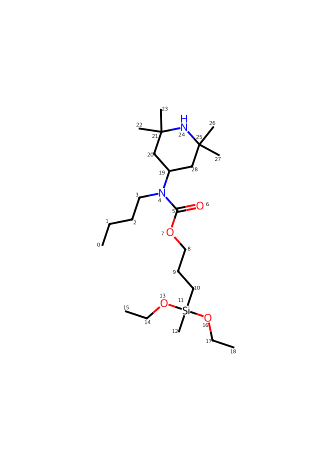 CCCCN(C(=O)OCCC[Si](C)(OCC)OCC)C1CC(C)(C)NC(C)(C)C1